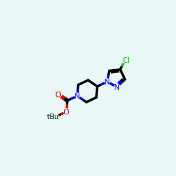 CC(C)(C)OC(=O)N1CCC(n2cc(Cl)cn2)CC1